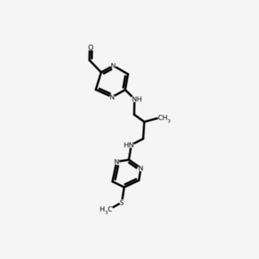 CSc1cnc(NCC(C)CNc2cnc(C=O)cn2)nc1